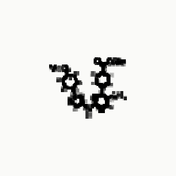 COC(=O)c1ccc(-c2nc(Nc3cnn(C4CCC(OC)CC4)c3)ncc2C)cc1